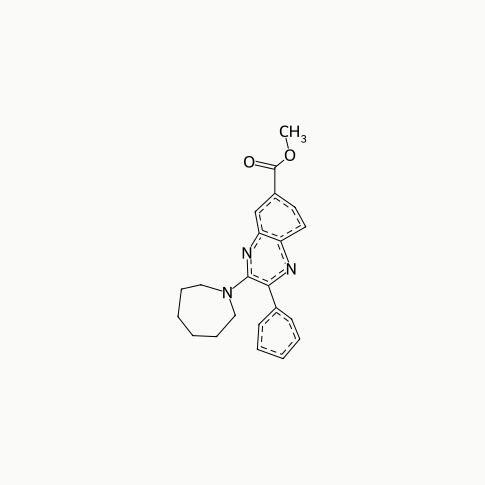 COC(=O)c1ccc2nc(-c3ccccc3)c(N3CCCCCC3)nc2c1